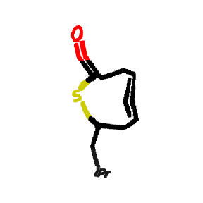 CC(C)C1C=CC(=O)S1